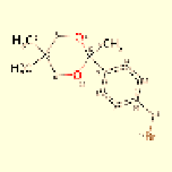 CC1(C)COC(C)(c2ccc(CBr)cc2)OC1